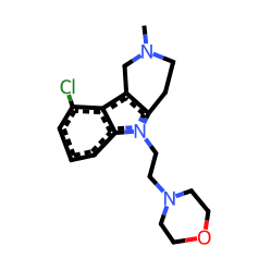 CN1CCc2c(c3c(Cl)cccc3n2CCN2CCOCC2)C1